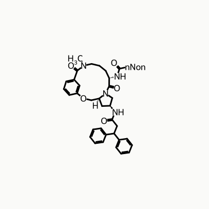 CCCCCCCCCC(=O)N[C@H]1CCCN(C)C(=O)c2cccc(c2)OC[C@@H]2C[C@H](NC(=O)CC(c3ccccc3)c3ccccc3)CN2C1=O